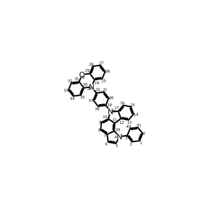 c1ccc(-n2ccc3ccc4c(c5ccccc5n4-c4ccc(N5c6ccccc6Oc6ccccc65)cc4)c32)cc1